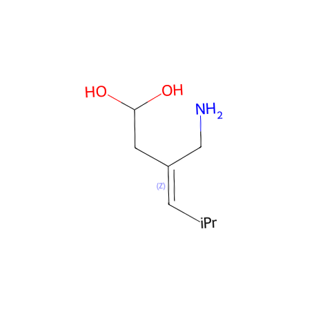 CC(C)/C=C(\CN)CC(O)O